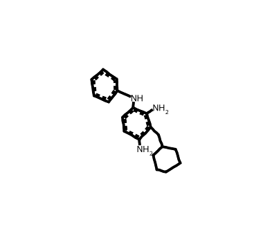 Nc1ccc(Nc2ccccc2)c(N)c1CC1CCCCC1